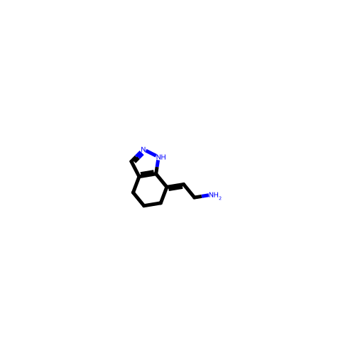 NCC=C1CCCc2cn[nH]c21